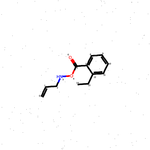 C=CCNOC(=O)c1ccccc1CC